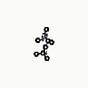 C=C(/N=C(\N=C(/C)c1ccccc1)c1cc(-c2ccc(-c3cc(-c4ccccc4)cc(-c4ccccc4)n3)cc2)c2ccccc2c1)c1ccccc1